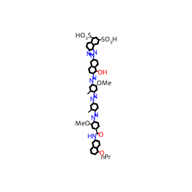 CCCOc1cccc2cc(NC(=O)c3ccc(N=Nc4ccc(N=Nc5cc(OC)c(N=Nc6ccc7cc(-n8nc9ccc%10c(S(=O)(=O)O)cc(S(=O)(=O)O)cc%10c9n8)ccc7c6O)cc5C)cc4C)c(OC)c3)ccc12